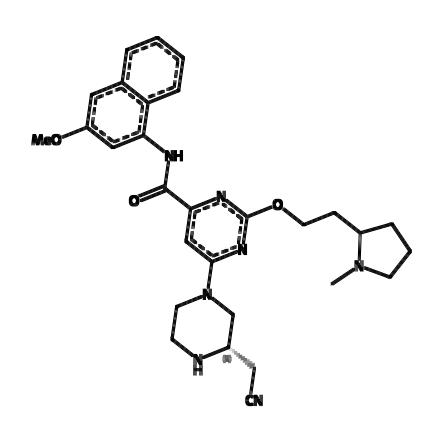 COc1cc(NC(=O)c2cc(N3CCN[C@@H](CC#N)C3)nc(OCCC3CCCN3C)n2)c2ccccc2c1